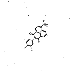 O=C1c2cccc3c([N+](=O)[O-])ccc(c23)C(=O)N1c1ccc(Cl)c(Cl)c1